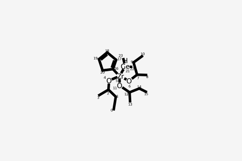 CCC(C)[O][Zr]([O]C(C)CC)([O]C(C)CC)([C]1=CC=CC1)[GeH]([CH3])[CH3]